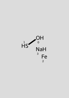 OS.[Fe].[NaH]